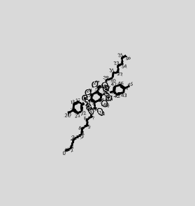 CCCCCCCCOC(=O)C1=C(S(=O)(=O)c2ccc(C)cc2)C(=O)C(C(=O)OCCCCCCCC)=C(S(=O)(=O)c2ccc(C)cc2)C1=O